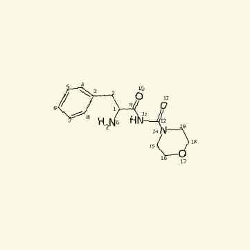 NC(Cc1ccccc1)C(=O)NC(=O)N1CCOCC1